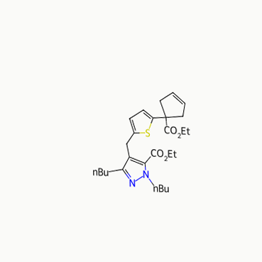 CCCCc1nn(CCCC)c(C(=O)OCC)c1Cc1ccc(C2(C(=O)OCC)CC=CC2)s1